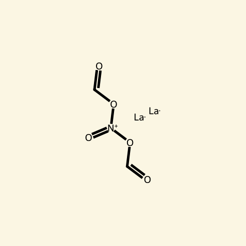 O=CO[N+](=O)OC=O.[La].[La]